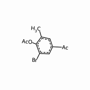 CC(=O)Oc1c(C)cc(C(C)=O)cc1Br